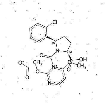 COc1ccnc(OC)[n+]1C(=O)N1[C@@H](c2ccccc2Cl)CC[C@H]1C(=O)O.O=C[O-]